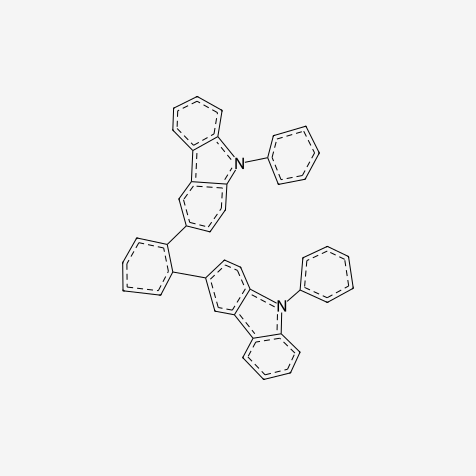 c1ccc(-n2c3ccccc3c3cc(-c4ccccc4-c4ccc5c(c4)c4ccccc4n5-c4ccccc4)ccc32)cc1